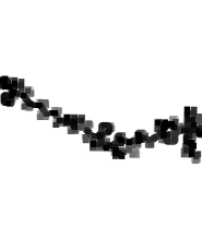 CC(C)(C)c1cnc(CSC2CN=C(NC(=O)CCCNCCCCCCC(=O)NO)S2)o1